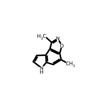 Cc1cc2[nH]ccc2c2c(C)noc12